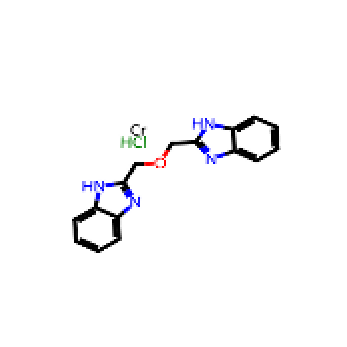 Cl.[Cr].c1ccc2[nH]c(COCc3nc4ccccc4[nH]3)nc2c1